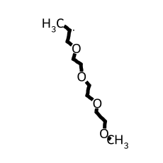 C[CH]COCCOCCOCCOC